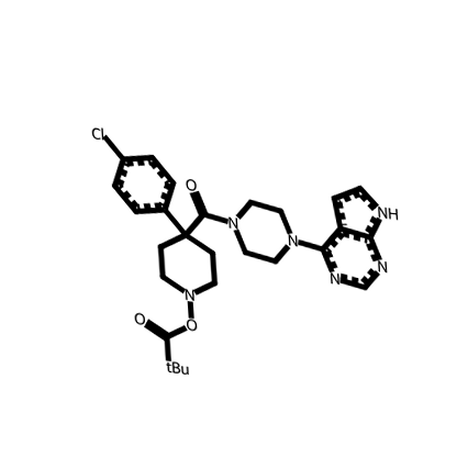 CC(C)(C)C(=O)ON1CCC(C(=O)N2CCN(c3ncnc4[nH]ccc34)CC2)(c2ccc(Cl)cc2)CC1